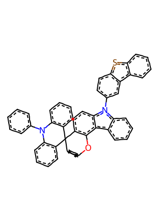 c1ccc(N2c3ccccc3C3(c4ccccc4Oc4c3ccc3c4c4ccccc4n3-c3ccc4sc5ccccc5c4c3)c3ccccc32)cc1